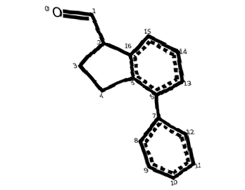 O=CC1CCc2c(-c3ccccc3)cccc21